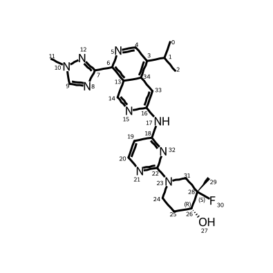 CC(C)c1cnc(-c2ncn(C)n2)c2cnc(Nc3ccnc(N4CC[C@@H](O)[C@@](C)(F)C4)n3)cc12